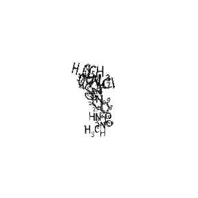 CC1CNc2c(oc3ccc4nc(Oc5nc(Cl)nc6c5COC6(C)C)ccc4c23)C(=O)N1